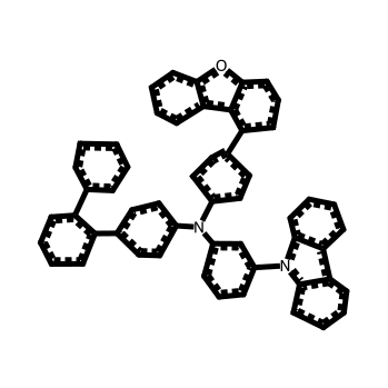 c1ccc(-c2ccccc2-c2ccc(N(c3ccc(-c4cccc5oc6ccccc6c45)cc3)c3cccc(-n4c5ccccc5c5ccccc54)c3)cc2)cc1